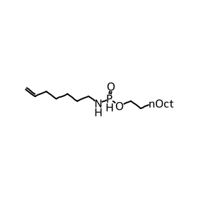 C=CCCCCCN[PH](=O)OCCCCCCCCCC